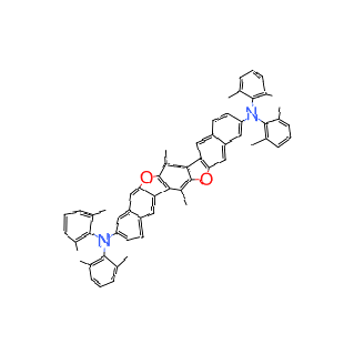 Cc1cccc(C)c1N(c1ccc2cc3c(cc2c1)oc1c(C)c2c(oc4cc5cc(N(c6c(C)cccc6C)c6c(C)cccc6C)ccc5cc42)c(C)c13)c1c(C)cccc1C